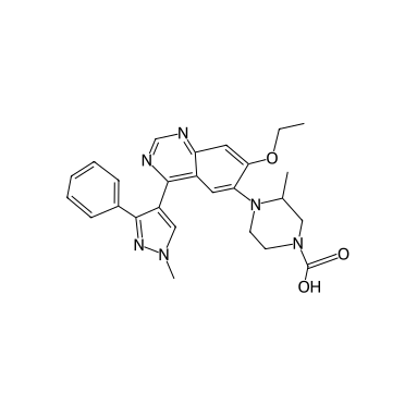 CCOc1cc2ncnc(-c3cn(C)nc3-c3ccccc3)c2cc1N1CCN(C(=O)O)CC1C